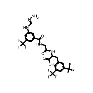 NN=CNc1cc(C(=O)NCC(=O)NC(Cc2cc(C(F)(F)F)cc(C(F)(F)F)c2)C(=O)O)cc(C(F)(F)F)c1